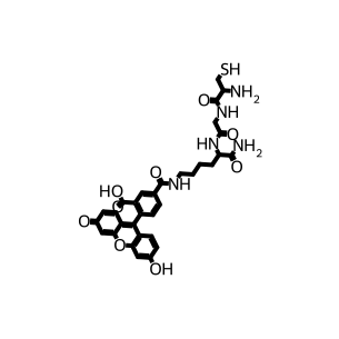 NC(=O)C(CCCCNC(=O)c1ccc(-c2c3ccc(=O)cc-3oc3cc(O)ccc23)c(C(=O)O)c1)NC(=O)CNC(=O)C(N)CS